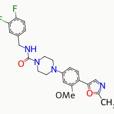 COc1cc(N2CCN(C(=O)NCc3ccc(F)c(F)c3)CC2)ccc1-c1cnc(C)o1